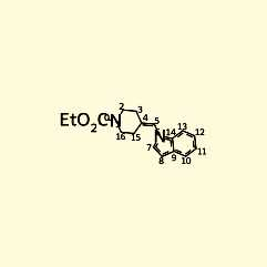 CCOC(=O)N1CCC(=Cn2ccc3ccccc32)CC1